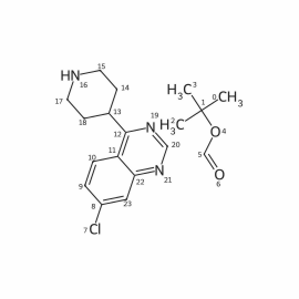 CC(C)(C)OC=O.Clc1ccc2c(C3CCNCC3)ncnc2c1